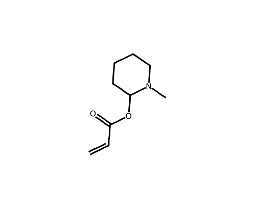 C=CC(=O)OC1CCCCN1C